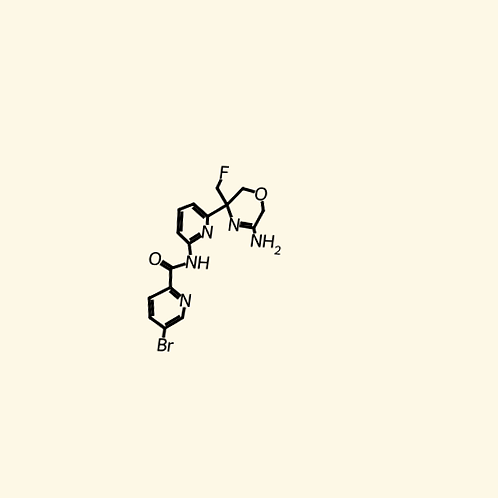 NC1=NC(CF)(c2cccc(NC(=O)c3ccc(Br)cn3)n2)COC1